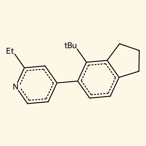 CCc1cc(-c2ccc3c(c2C(C)(C)C)CCC3)ccn1